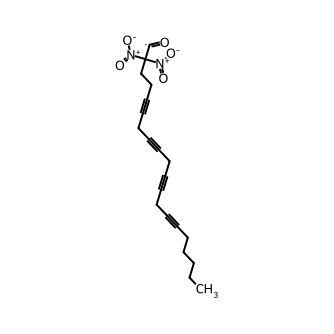 CCCCCC#CCC#CCC#CCC#CCCC([C]=O)([N+](=O)[O-])[N+](=O)[O-]